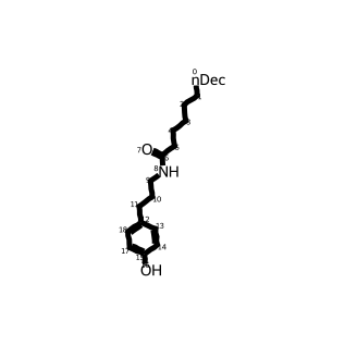 CCCCCCCCCCCCCCCC(=O)NCCCc1ccc(O)cc1